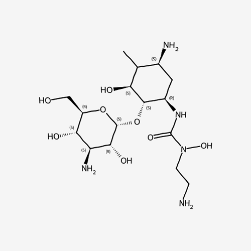 CC1[C@@H](N)C[C@@H](NC(=O)N(O)CCN)[C@H](O[C@H]2O[C@H](CO)[C@@H](O)[C@H](N)[C@H]2O)[C@H]1O